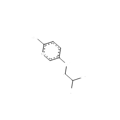 CC(C)(C)c1ccc(OCC(F)F)cn1